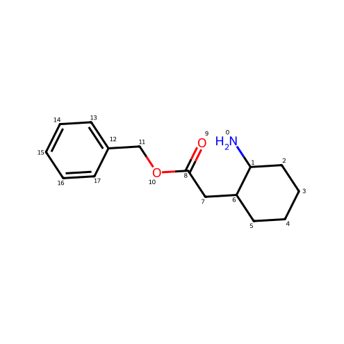 NC1CCCCC1CC(=O)OCc1ccccc1